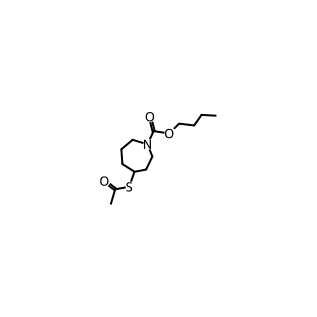 CCCCOC(=O)N1CCCC(SC(C)=O)CC1